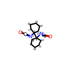 O=C=NC1(C2(N=C=O)CCCCC2)CCCCC1